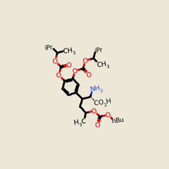 CCCCOC(=O)OC(C)CC(c1ccc(OC(=O)OC(C)C(C)C)c(OC(=O)OC(C)C(C)C)c1)[C@H](N)C(=O)O